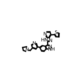 c1csc(-c2ccnc3[nH]c(-c4n[nH]c5ccc(-c6cncc(CN7CCCC7)c6)cc45)nc23)c1